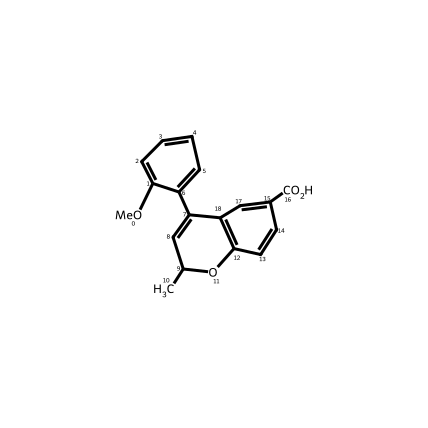 COc1ccccc1C1=CC(C)Oc2ccc(C(=O)O)cc21